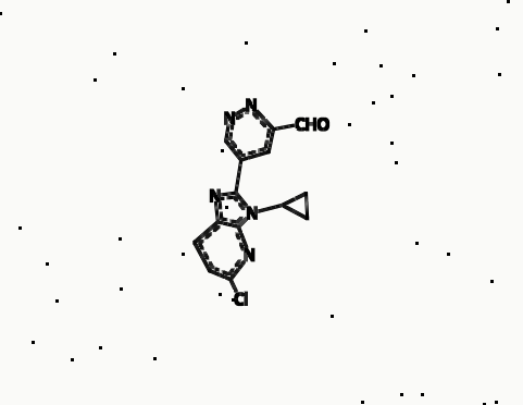 O=Cc1cc(-c2nc3ccc(Cl)nc3n2C2CC2)cnn1